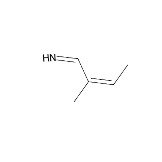 CC=C(C)C=N